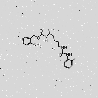 Cc1ccccc1NC(=O)NCCCC[C@H](C)NC(=O)OCc1ccccc1N